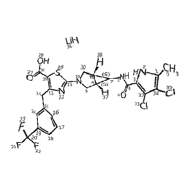 Cc1[nH]c(C(=O)N[C@H]2[C@@H]3CN(c4nc(Cc5cccc(C(F)(F)F)c5)c(C(=O)O)s4)C[C@@H]32)c(Cl)c1Cl.[LiH]